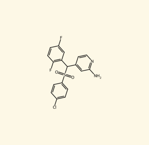 Nc1cc(C(c2cc(F)ccc2F)S(=O)(=O)c2ccc(Cl)cc2)ccn1